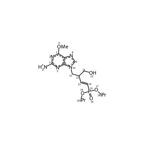 COc1nc(N)nc2c1ncn2CC(C=CP(=O)(OC(C)C)OC(C)C)CO